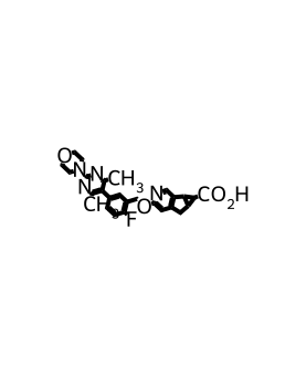 Cc1nc(N2CCOCC2)nc(C)c1-c1ccc(F)c(COc2cc3c(cn2)C2C(C3)C2C(=O)O)c1